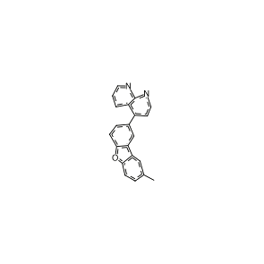 Cc1ccc2oc3ccc(-c4ccnc5ncccc45)cc3c2c1